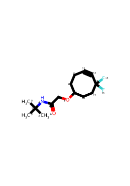 CC(C)(C)NC(=O)COC1CCC#CC(F)(F)CC1